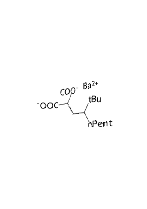 CCCCCC(CC(C(=O)[O-])C(=O)[O-])C(C)(C)C.[Ba+2]